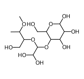 COC(C)C(CO)OC(OC1C(CO)OC(O)C(O)C1O)C(O)O